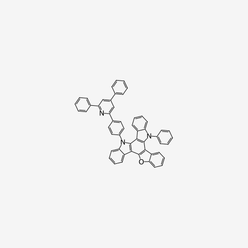 c1ccc(-c2cc(-c3ccccc3)nc(-c3ccc(-n4c5ccccc5c5c6oc7ccccc7c6c6c(c7ccccc7n6-c6ccccc6)c54)cc3)c2)cc1